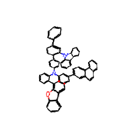 c1ccc(-c2ccc(-c3ccc(N(c4cccc(-c5ccc6c(ccc7ccccc76)c5)c4)c4ccccc4-c4cccc5c4oc4ccccc45)cc3)c(-n3c4ccccc4c4ccccc43)c2)cc1